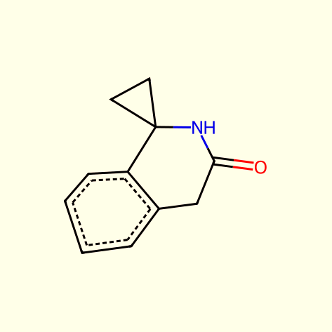 O=C1Cc2ccccc2C2(CC2)N1